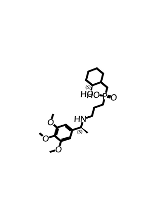 COc1cc([C@H](C)NCCCP(=O)(O)CC2CCCC[C@@H]2O)cc(OC)c1OC